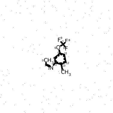 C/C=N\c1cc(OC(F)(F)F)ccc1C